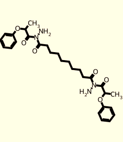 CC(Oc1ccccc1)C(=O)N(N)C(=O)CCCCCCCCC(=O)N(N)C(=O)C(C)Oc1ccccc1